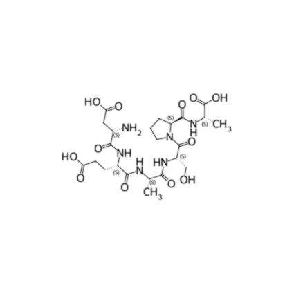 C[C@H](NC(=O)[C@@H]1CCCN1C(=O)[C@H](CO)NC(=O)[C@H](C)NC(=O)[C@H](CCC(=O)O)NC(=O)[C@@H](N)CC(=O)O)C(=O)O